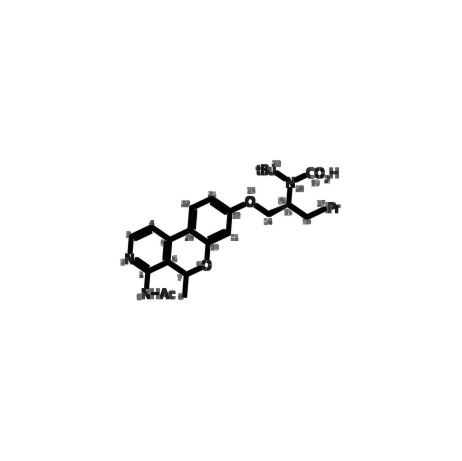 CC(=O)Nc1nccc2c1C(C)Oc1cc(OC[C@H](CC(C)C)N(C(=O)O)C(C)(C)C)ccc1-2